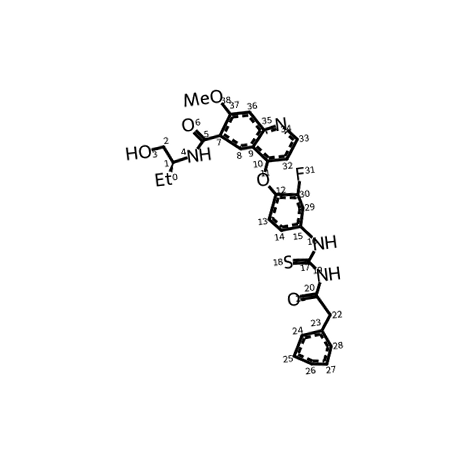 CC[C@@H](CO)NC(=O)c1cc2c(Oc3ccc(NC(=S)NC(=O)Cc4ccccc4)cc3F)ccnc2cc1OC